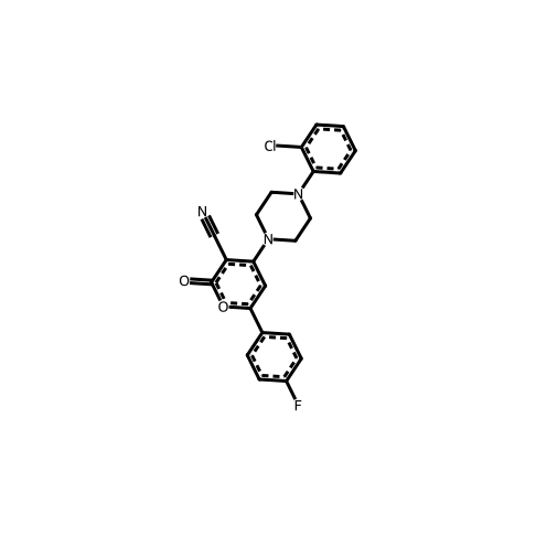 N#Cc1c(N2CCN(c3ccccc3Cl)CC2)cc(-c2ccc(F)cc2)oc1=O